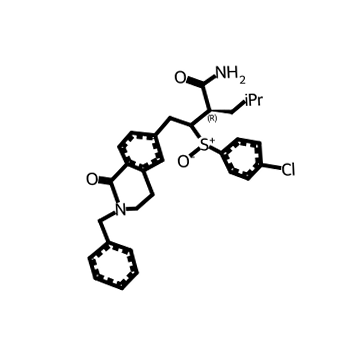 CC(C)C[C@H](C(N)=O)C(Cc1ccc2c(c1)CCN(Cc1ccccc1)C2=O)[S+]([O-])c1ccc(Cl)cc1